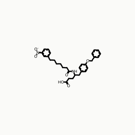 O=C(O)CCC(Cc1ccc(OCc2ccccc2)cc1)NC(=O)CCCCCCc1cccc([N+](=O)[O-])c1